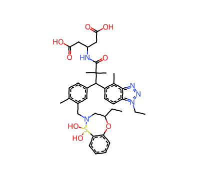 CCC1CN(Cc2cc(C(c3ccc4c(nnn4CC)c3C)C(C)(C)C(=O)NC(CC(=O)O)CC(=O)O)ccc2C)S(O)(O)c2ccccc2O1